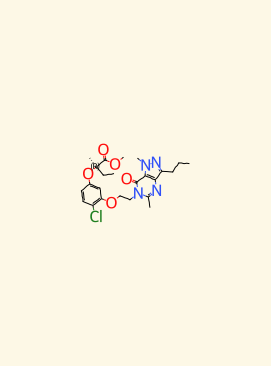 CCCc1nn(C)c2c(=O)n(CCOc3cc(O[C@](C)(CC)C(=O)OC)ccc3Cl)c(C)nc12